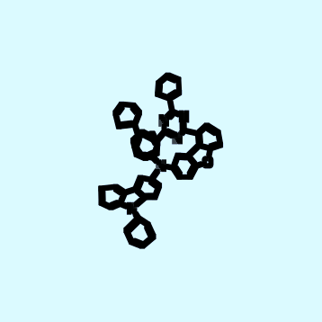 c1ccc(-c2ccc(N(c3ccc4oc5cccc(-c6nc(-c7ccccc7)nc(-c7ccccc7)n6)c5c4c3)c3ccc4c(c3)c3ccccc3n4-c3ccccc3)cc2)cc1